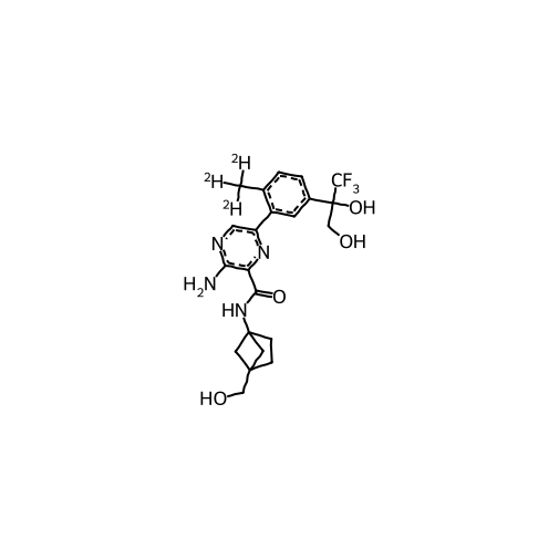 [2H]C([2H])([2H])c1ccc(C(O)(CO)C(F)(F)F)cc1-c1cnc(N)c(C(=O)NC23CCC(CO)(C2)C3)n1